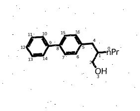 CCCC(CO)Cc1ccc(-c2ccccc2)cc1